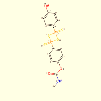 CNC(=O)Oc1ccc(P2(=S)SP(=S)(c3ccc(O)cc3)S2)cc1